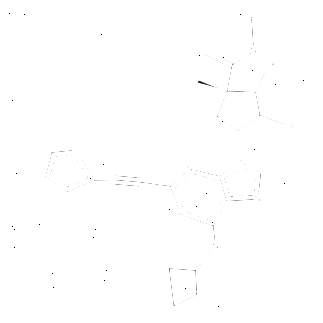 CNC(=O)[C@@]1(C)C[C@@H](n2cnc3c(NC4CCC4)nc(C#Cc4ccc(Cl)s4)nc32)C(O)C1O